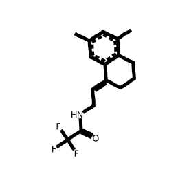 Cc1cc(C)c2c(c1)/C(=C/CNC(=O)C(F)(F)F)CCC2